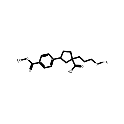 COCCCC1(C(=O)O)CCC(c2ccc(C(=O)OC)cc2)C1